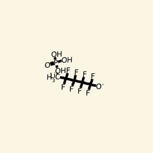 CC(F)(F)C(F)(F)C(F)(F)C([O-])(F)F.O=P(O)(O)O.[Li+]